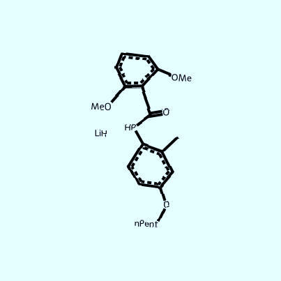 CCCCCOc1ccc(PC(=O)c2c(OC)cccc2OC)c(C)c1.[LiH]